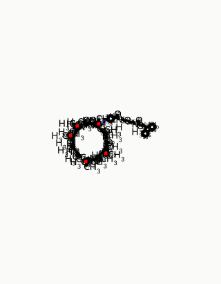 CC[C@@H]1CC(=O)[C@H]([C@H](O)C(C)C/C=C/c2ccc(C(=O)NCCOCCNC(=O)OCC3c4ccccc4-c4ccccc43)cc2)N(C)C(=O)[C@H](C(C)C)N(C)C(=O)[C@H](CC(C)C)N(C)C(=O)[C@H](CC(C)C)N(C)C(=O)[C@@H](C)NC(=O)[C@H](C)CC(=O)[C@H](CC(C)C)N(C)C(=O)[C@H](C(C)C)CC(=O)C(CC(C)C)N(C)C(=O)CN(C)C1=O